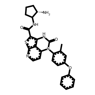 Cc1cc(Oc2ccccc2)ccc1N1C(=O)Nc2c(C(=O)NC3CCC[C@@H]3N)sc3nccc1c23